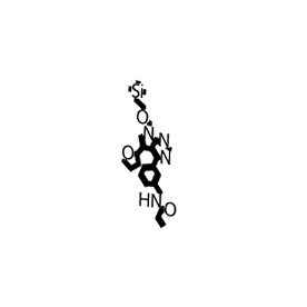 C=CC(=O)NCc1cccc(-c2ncnc3c2c(C2CCCO2)cn3COCC[Si](C)(C)C)c1